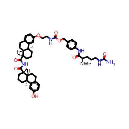 CN[C@@H](CCCNC(N)=O)C(=O)Nc1ccc(COC(=O)NCCOc2ccc3c(c2)[C@@]2(C)CCC[C@](C)(C(=O)NC(=O)[C@@]4(C)CCC[C@]5(C)c6cc(O)ccc6CC[C@@H]45)[C@@H]2CC3)cc1